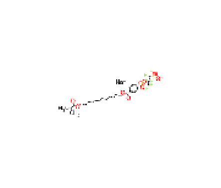 C=C(C)C(=O)OCCCCCCCCCCCCOC(=O)c1ccc(OS(=O)(=O)C(F)(F)C(F)(F)C(F)(F)S(=O)(=O)[O-])cc1.[Na+]